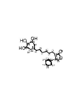 C[C@@H]1[C@@H](O)[C@H](O)[C@@H](O)CN1CCCCCCN1C(=O)OC[C@H]1c1ccccc1